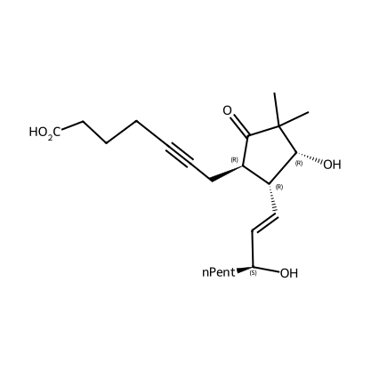 CCCCC[C@H](O)C=C[C@H]1[C@@H](O)C(C)(C)C(=O)[C@@H]1CC#CCCCC(=O)O